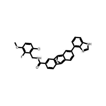 COc1ccc(Cl)c(CNC(=O)c2ccc3c(c2)c2oc3c3ccc(-c4cccc5[nH]cnc45)cc32)c1F